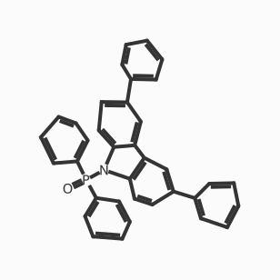 O=P(c1ccccc1)(c1ccccc1)n1c2ccc(-c3ccccc3)cc2c2cc(-c3ccccc3)ccc21